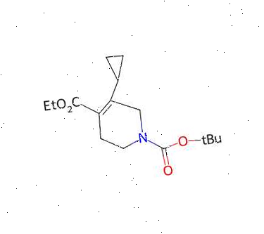 CCOC(=O)C1=C(C2CC2)CN(C(=O)OC(C)(C)C)CC1